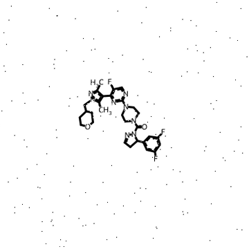 Cc1nn(CC2CCOCC2)c(C)c1-c1nc(N2CCN(C(=O)N3N=CCC3c3cc(F)cc(F)c3)CC2)ncc1F